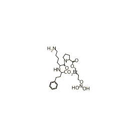 CCOC(=O)C(CCc1ccccc1)NC(CCCCN)C(=O)N1CCCC1C(=O)OCCCCON(O)O